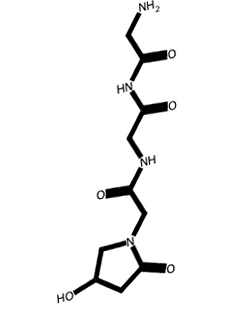 NCC(=O)NC(=O)CNC(=O)CN1CC(O)CC1=O